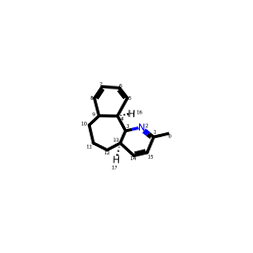 CC1=NC2[C@@H]3C=CC=CC3CCC[C@@H]2C=C1